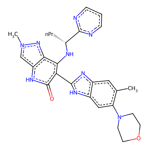 CCC[C@@H](Nc1c(-c2nc3cc(C)c(N4CCOCC4)cc3[nH]2)c(=O)[nH]c2cn(C)nc12)c1ncccn1